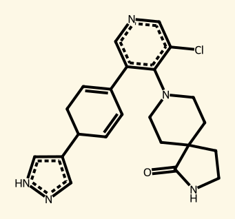 O=C1NCCC12CCN(c1c(Cl)cncc1C1=CCC(c3cn[nH]c3)C=C1)CC2